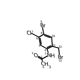 CC(=O)Nc1cc(Cl)c(Br)cc1CBr